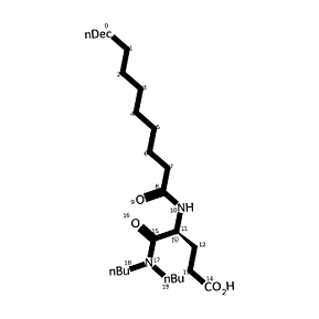 CCCCCCCCCCCCCCCCCC(=O)N[C@@H](CCC(=O)O)C(=O)N(CCCC)CCCC